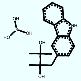 CC(C)(O)C(C)(O)Cc1ccc2[nH]c3ccccc3c2c1.OB(O)O